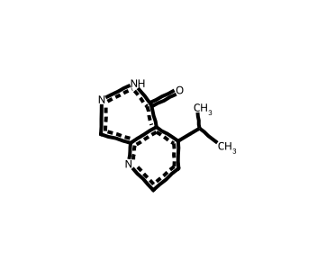 CC(C)c1ccnc2cn[nH]c(=O)c12